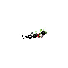 C=CC1CCC(c2ccc(OCC(F)(F)Oc3cc(F)c(F)c(F)c3)c(F)c2F)CC1